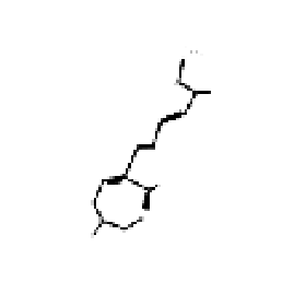 CCC(/C=C/CCC1=CCC(C)CN=C1C)COC